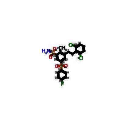 Cc1c(CCc2c(Cl)cccc2Cl)cc(S(=O)(=O)c2ccc(F)cc2)cc1S(N)(=O)=O